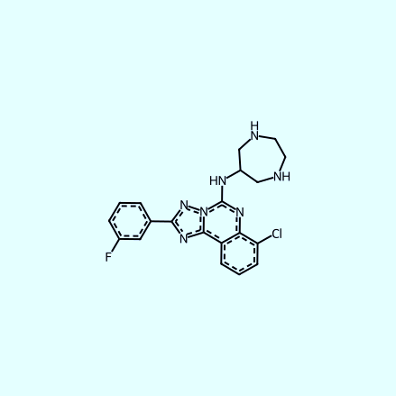 Fc1cccc(-c2nc3c4cccc(Cl)c4nc(NC4CNCCNC4)n3n2)c1